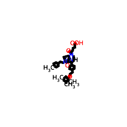 Cc1ccc(CCN(C(=O)C2=C(c3ccc(CCOc4cc(C)cc(C)c4C)cc3)C[C@@H]3CN(C(=O)CCCC(=O)O)C[C@H]2N3)C2CC2)cc1